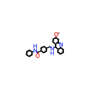 COc1ccc2c(NCc3ccc(C(=O)Nc4ccccc4)cc3)c3ccccc3nc2c1